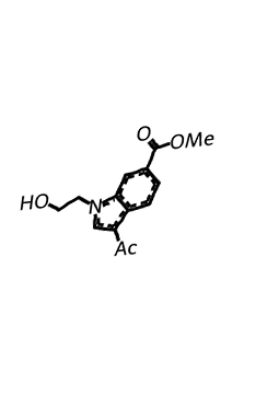 COC(=O)c1ccc2c(C(C)=O)cn(CCO)c2c1